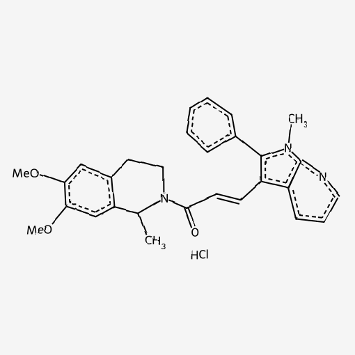 COc1cc2c(cc1OC)C(C)N(C(=O)/C=C/c1c(-c3ccccc3)n(C)c3ncccc13)CC2.Cl